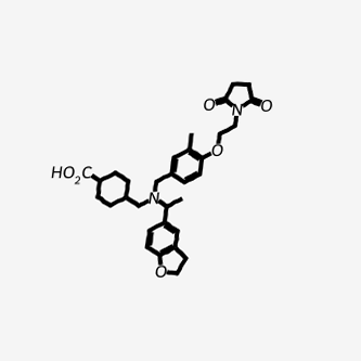 Cc1cc(CN(CC2CCC(C(=O)O)CC2)C(C)c2ccc3c(c2)CCO3)ccc1OCCN1C(=O)CCC1=O